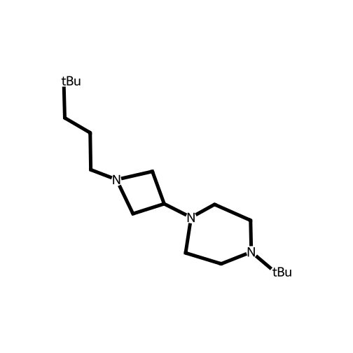 CC(C)(C)CCCN1CC(N2CCN(C(C)(C)C)CC2)C1